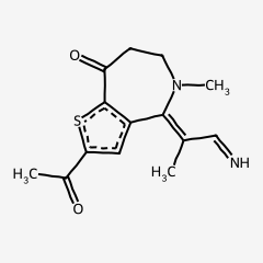 CC(=O)c1cc2c(s1)C(=O)CCN(C)/C2=C(/C)C=N